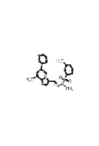 Cc1cccc(S(=O)(=O)N(C)/N=C/c2cnc3c(C)cc(-c4cccnc4)cn23)c1